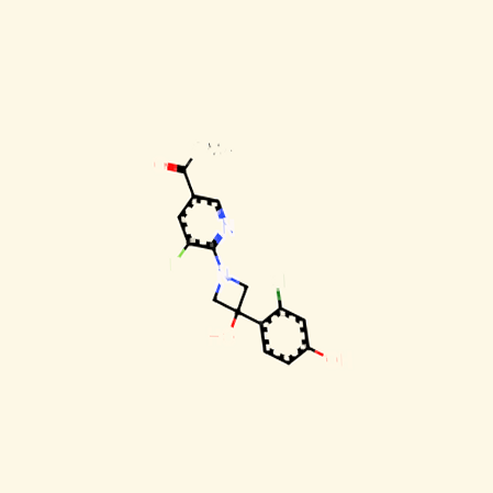 COC(=O)c1cnc(N2CC(O)(c3ccc(O)cc3Cl)C2)c(F)c1